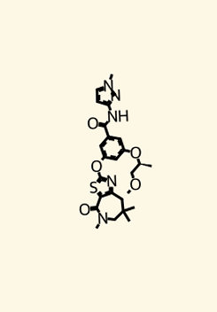 COC[C@H](C)Oc1cc(Oc2nc3c(s2)C(=O)N(C)CC(C)(C)C3)cc(C(=O)Nc2ccn(C)n2)c1